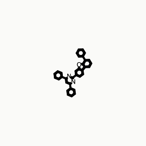 c1ccc(-c2cc(-c3ccccc3)nc(-c3ccc4c(c3)oc3c(-c5ccccc5)cccc34)n2)cc1